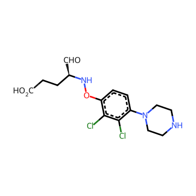 O=C[C@H](CCC(=O)O)NOc1ccc(N2CCNCC2)c(Cl)c1Cl